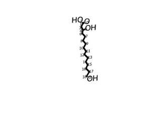 O=C(O)CC(O)CCCCCCCCCCCCCO